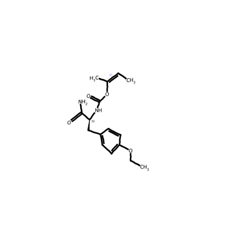 C/C=C(/C)OC(=O)N[C@@H](Cc1ccc(OCC)cc1)C(N)=O